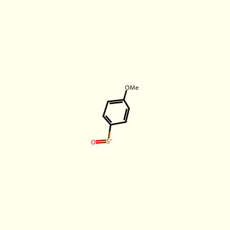 COc1c[c]c([S+]=O)cc1